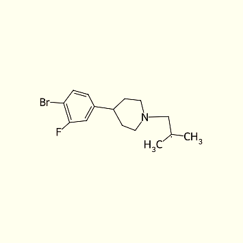 C[C](C)CN1CCC(c2ccc(Br)c(F)c2)CC1